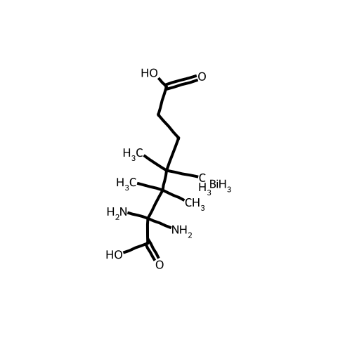 CC(C)(CCC(=O)O)C(C)(C)C(N)(N)C(=O)O.[BiH3]